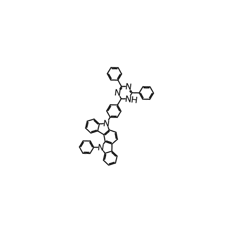 c1ccc(C2=NC(c3ccc(-n4c5ccccc5c5c4ccc4c6ccccc6n(-c6ccccc6)c45)cc3)NC(c3ccccc3)=N2)cc1